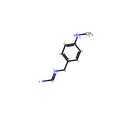 CNc1ccc(CN=CI)cc1